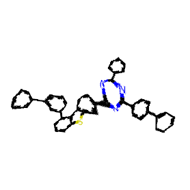 C1=CCCC(c2ccc(-c3nc(-c4ccccc4)nc(-c4ccc5c(c4)sc4cccc(-c6cccc(-c7ccccc7)c6)c45)n3)cc2)=C1